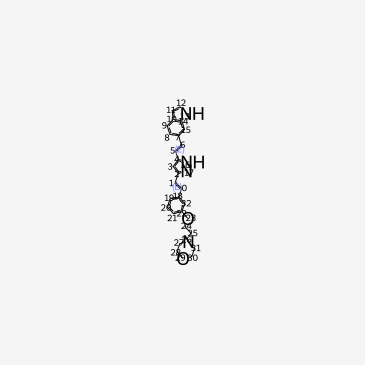 C(=C\c1cc(/C=C/c2ccc3cc[nH]c3c2)[nH]n1)/c1cccc(OCCN2CCOCC2)c1